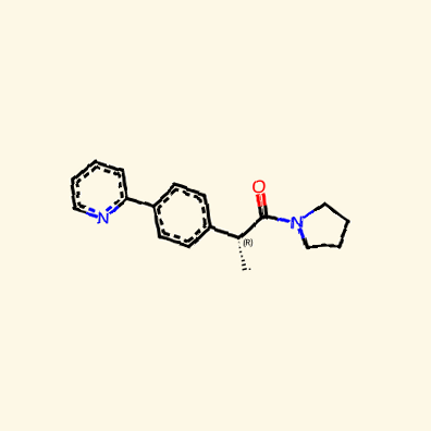 [CH2][C@@H](C(=O)N1CCCC1)c1ccc(-c2ccccn2)cc1